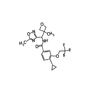 Cc1nc(C(NC(=O)c2ccc(C3CC3)c(OCC(F)(F)F)c2)C2(C)COC2)no1